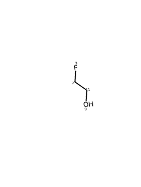 O[CH]CF